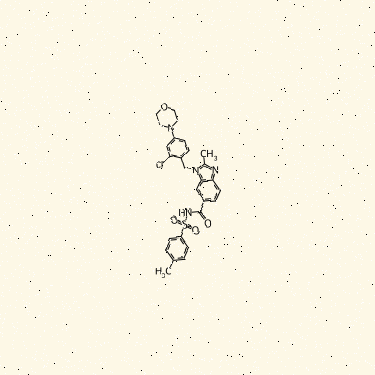 Cc1ccc(S(=O)(=O)NC(=O)c2ccc3nc(C)n(Cc4ccc(N5CCOCC5)cc4Cl)c3c2)cc1